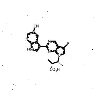 C[C@H]([C@@H](C)C(=O)O)n1cc(F)c2cnc(-c3c[nH]c4ncc(C#N)cc34)nc21